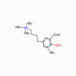 CCCC[N+](CCCC)(CCCC)CCCCc1cc(C=O)c(O)c(C(C)(C)C)c1